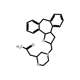 CC(=O)CC1CN(CC2CC3c4ccccc4Cc4ccccc4C3O2)CCO1